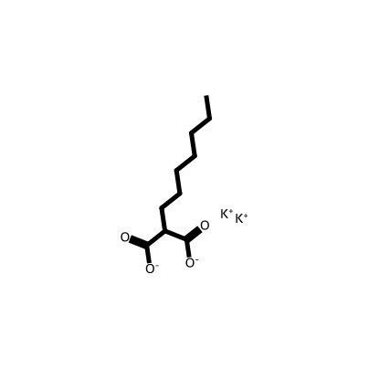 CCCCCCCC(C(=O)[O-])C(=O)[O-].[K+].[K+]